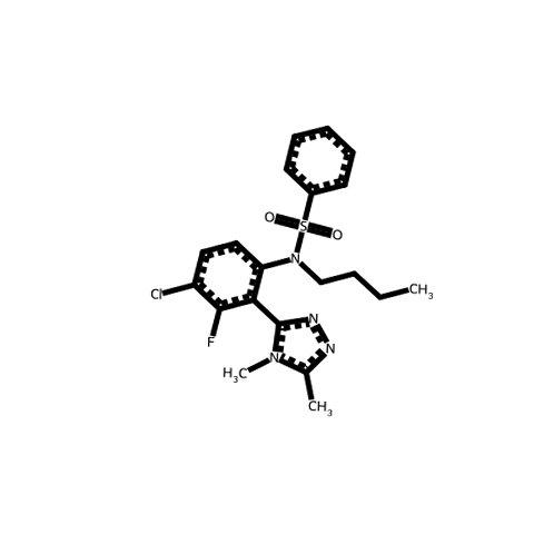 CCCCN(c1ccc(Cl)c(F)c1-c1nnc(C)n1C)S(=O)(=O)c1ccccc1